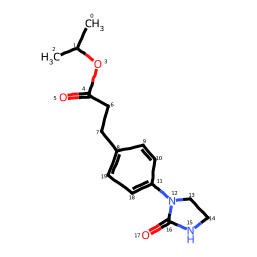 CC(C)OC(=O)CCc1ccc(N2CCNC2=O)cc1